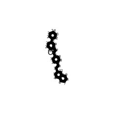 C(=Cc1ccc2ccccc2c1)c1ccc(-c2cc3cc(-c4ccccc4)ccc3o2)cc1